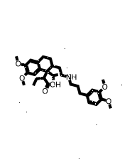 CCC(C(=O)O)C1(C(C)C)c2cc(OC)c(OC)cc2CCC1CCNCCCc1ccc(OC)c(OC)c1